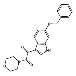 O=C(C(=O)N1CCOCC1)c1c[nH]c2cc(OCc3ccccc3)ccc12